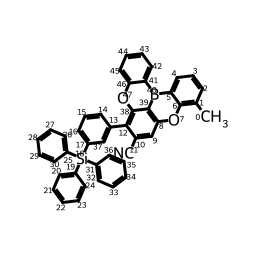 Cc1cccc2c1Oc1cc(C#N)c(-c3cccc([Si](c4ccccc4)(c4ccccc4)c4ccccc4)c3)c3c1B2c1ccccc1O3